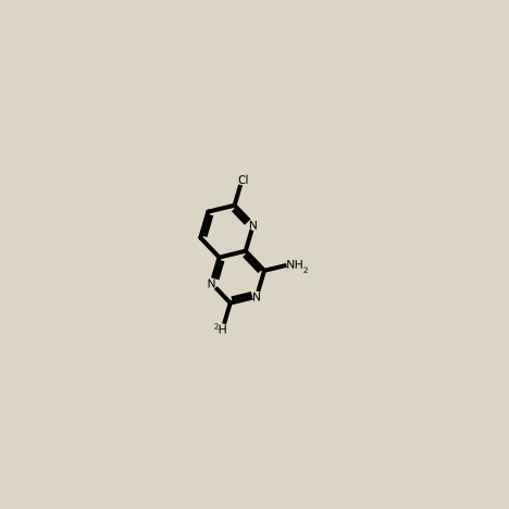 [2H]c1nc(N)c2nc(Cl)ccc2n1